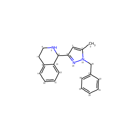 Cc1cc(C2NCCc3ccccc32)nn1Cc1ccccc1